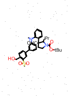 CC(C)C1N(C(=O)OC(C)(C)C)CC[C@]1(C=O)c1ccccc1N(C)c1cccc(-c2ccc(CO)c(S(C)(=O)=O)c2)c1